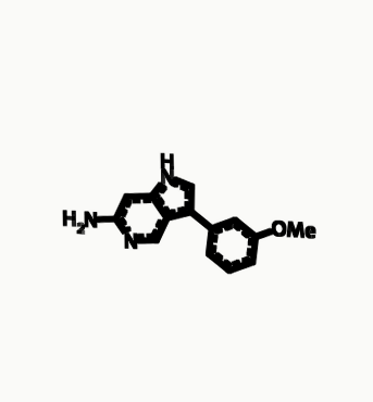 COc1cccc(-c2c[nH]c3cc(N)ncc23)c1